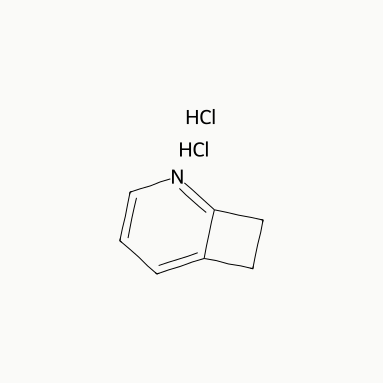 Cl.Cl.c1cnc2c(c1)CC2